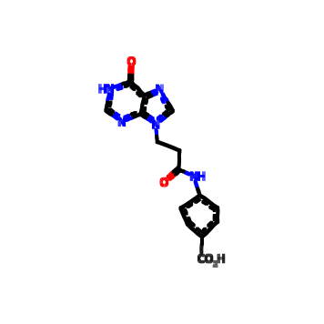 O=C(CCn1cnc2c(=O)[nH]cnc21)Nc1ccc(C(=O)O)cc1